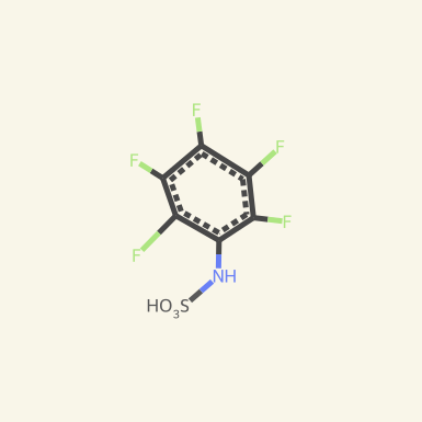 O=S(=O)(O)Nc1c(F)c(F)c(F)c(F)c1F